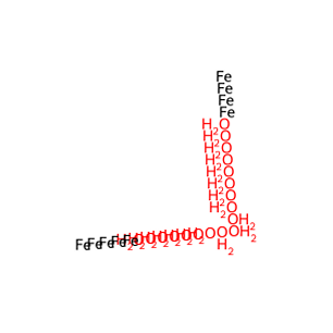 O.O.O.O.O.O.O.O.O.O.O.O.O.O.O.O.O.O.[Fe].[Fe].[Fe].[Fe].[Fe].[Fe].[Fe].[Fe].[Fe]